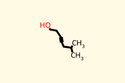 CC(C)CC#CCCO